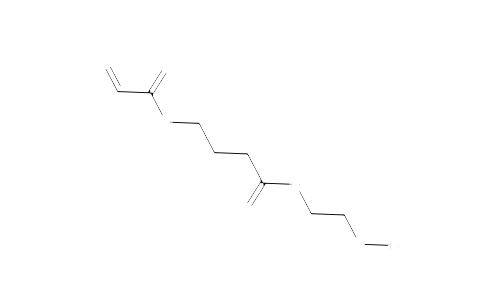 C=CC(=O)OCCCC(=O)OCCSCC